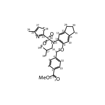 COC(=O)c1ccc(COc2cc3c(cc2N(CC(C)F)S(=O)(=O)c2nc(C)cs2)CCC3)cc1